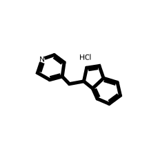 C1=CC(Cc2ccncc2)c2ccccc21.Cl